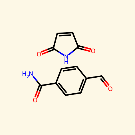 NC(=O)c1ccc(C=O)cc1.O=C1C=CC(=O)N1